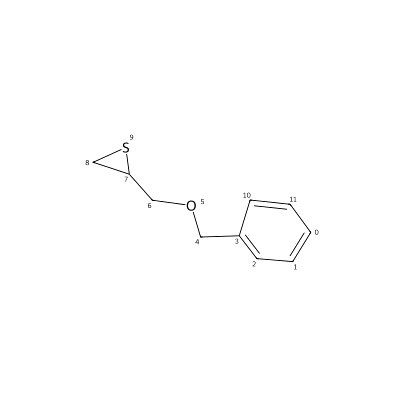 c1ccc(COCC2CS2)cc1